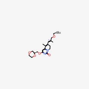 CC1=C(/C=C(\C)COCC(C)(C)C)CCn2c1cc(OC[C@@H]1COCCO1)nc2=O